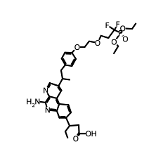 CCOP(=O)(OCC)C(F)(F)CCOCCOc1ccc(CC(C)c2cnc3c(N)nc4cc(C(CC)CC(=O)O)ccc4c3c2)cc1